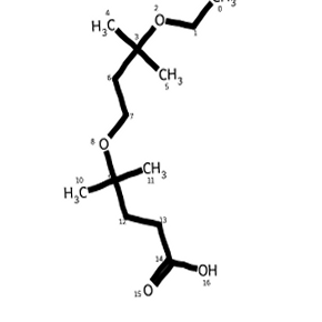 CCOC(C)(C)CCOC(C)(C)CCC(=O)O